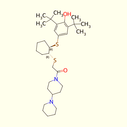 CC(C)(C)c1cc(S[C@@H]2CCCC[C@H]2SCC(=O)N2CCC(N3CCCCC3)CC2)cc(C(C)(C)C)c1O